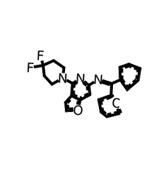 FC1(F)CCN(c2nc(N=C(c3ccccc3)c3ccccc3)cc3occc23)CC1